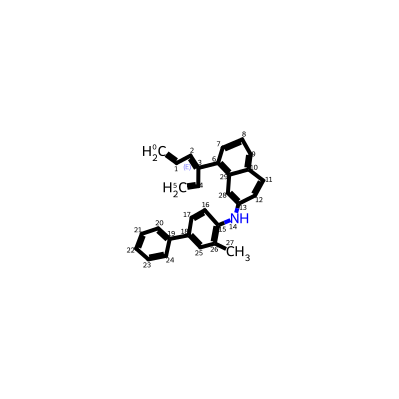 C=C/C=C(\C=C)c1cccc2ccc(Nc3ccc(-c4ccccc4)cc3C)cc12